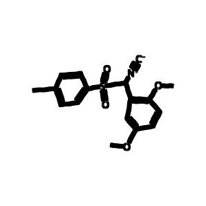 [C-]#[N+]C(c1cc(OC)ccc1OC)S(=O)(=O)c1ccc(C)cc1